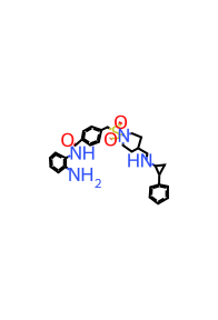 Nc1ccccc1NC(=O)c1ccc(CS(=O)(=O)N2CCC(CNC3CC3c3ccccc3)CC2)cc1